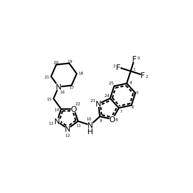 FC(F)(F)c1ccc2oc(Nc3nnc(CN4CCCCC4)o3)nc2c1